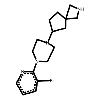 Brc1cccnc1N1CCN(C2CCC3(CNC3)C2)CC1